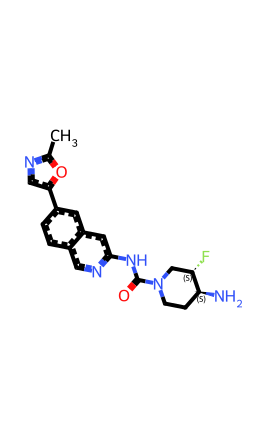 Cc1ncc(-c2ccc3cnc(NC(=O)N4CC[C@H](N)[C@@H](F)C4)cc3c2)o1